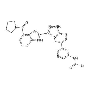 CCC(=O)Nc1cncc(-c2cnc3[nH]nc(-c4cc5c(C(=O)N6CCCC6)cccc5[nH]4)c3c2)c1